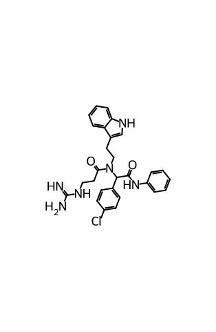 N=C(N)NCCC(=O)N(CCc1c[nH]c2ccccc12)C(C(=O)Nc1ccccc1)c1ccc(Cl)cc1